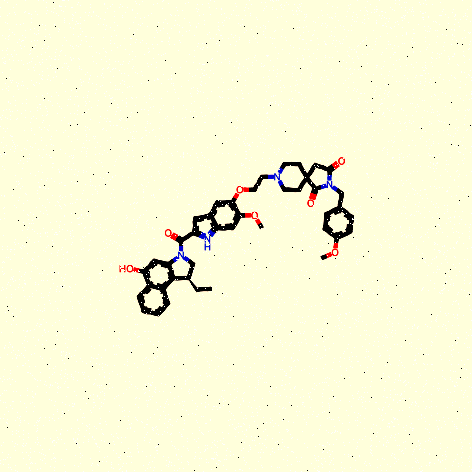 CC[C@@H]1CN(C(=O)c2cc3cc(OCCN4CCC5(CC4)CC(=O)N(Cc4ccc(OC)cc4)C5=O)c(OC)cc3[nH]2)c2cc(O)c3ccccc3c21